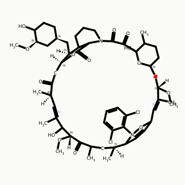 CO[C@H]1C[C@@H]2CCC(C)C(O)(O2)C(=O)C(=O)N2CCCC3C2C(=O)O[C@@H](CC(=O)[C@H](C)/C=C(\C)C(O)[C@@H](OC)C(=O)C(C)C[C@H](C)C2C=CC(/C=C/1C)ON2c1c(Cl)cccc1Cl)[C@H]3C[C@@H]1CCC(O)[C@H](OC)C1